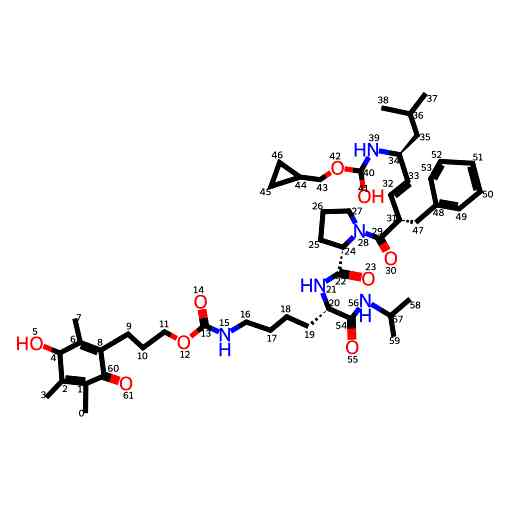 CC1=C(C)C(O)C(C)=C(CCCOC(=O)NCCCC[C@H](NC(=O)[C@@H]2CCCN2C(=O)[C@H](/C=C/[C@H](CC(C)C)NC(O)OCC2CC2)Cc2ccccc2)C(=O)NC(C)C)C1=O